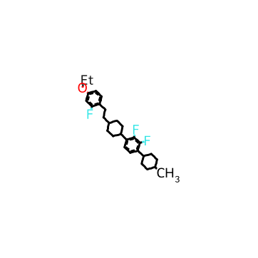 CCOc1ccc(CCC2CCC(c3ccc(C4CCC(C)CC4)c(F)c3F)CC2)c(F)c1